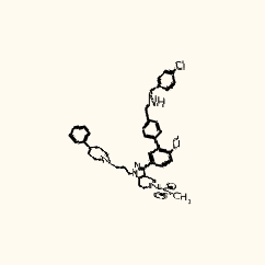 CS(=O)(=O)N1CCc2c(c(-c3ccc(Cl)c(-c4ccc(CNCc5ccc(Cl)cc5)cc4)c3)nn2CCCN2CCC(c3ccccc3)CC2)C1